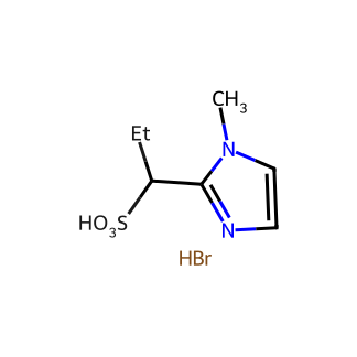 Br.CCC(c1nccn1C)S(=O)(=O)O